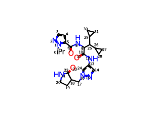 CC(C)n1nccc1C(=O)NC(C(=O)Nc1cnn(CC2CCNC2=O)c1)C(C1CC1)C1CC1